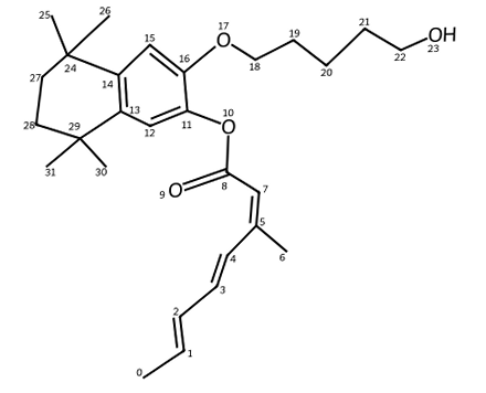 CC=CC=CC(C)=CC(=O)Oc1cc2c(cc1OCCCCCO)C(C)(C)CCC2(C)C